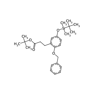 CC(C)(C)OC(=O)CCc1cc(O[Si](C)(C)C(C)(C)C)ccc1OCc1ccccc1